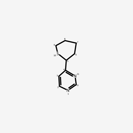 [c]1nccc(C2CCCCS2)n1